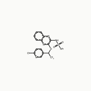 CCCS(=O)(=O)Nc1nc2ccccc2nc1OC(c1ccc(Cl)nc1)C(F)(F)F